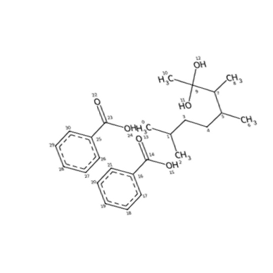 CC(C)CCC(C)C(C)C(C)(O)O.O=C(O)c1ccccc1.O=C(O)c1ccccc1